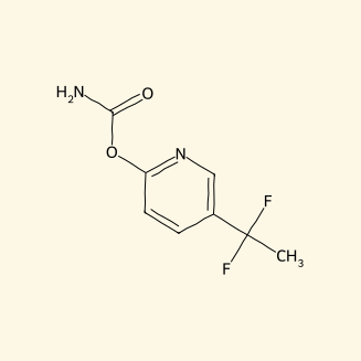 CC(F)(F)c1ccc(OC(N)=O)nc1